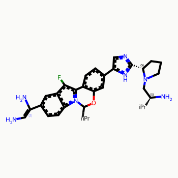 CCCC1Oc2cc(-c3cnc([C@@H]4CCCN4C[C@@H](N)C(C)C)[nH]3)ccc2-c2c(F)c3cc(/C(N)=C/N)ccc3n21